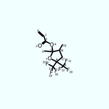 C=CC(=O)OC1(C)OC(C(F)(F)F)(C(F)(F)F)CC1C